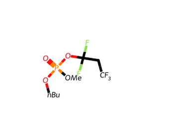 CCCCOP(=O)(OC)OC(F)(F)CC(F)(F)F